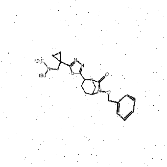 CC(C)(C)N(CC1(c2nnc(C3CCC4CN3C(=O)N4OCc3ccccc3)o2)CC1)C(=O)O